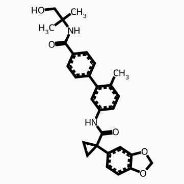 Cc1ccc(NC(=O)C2(c3ccc4c(c3)OCO4)CC2)cc1-c1ccc(C(=O)NC(C)(C)CO)cc1